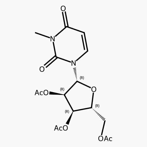 CC(=O)OC[C@H]1O[C@@H](n2ccc(=O)n(C)c2=O)[C@H](OC(C)=O)[C@@H]1OC(C)=O